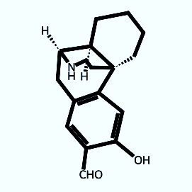 O=Cc1cc2c(cc1O)[C@]13CCCC[C@@H]1[C@H](C2)NCC3